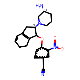 N#Cc1ccc(OC2C3=C(C=CCC3)C[C@H]2N2CCC[C@@H](N)C2)c([N+](=O)[O-])c1